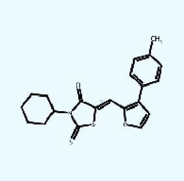 Cc1ccc(-c2ccoc2/C=C2\SC(=S)N(C3CCCCC3)C2=O)cc1